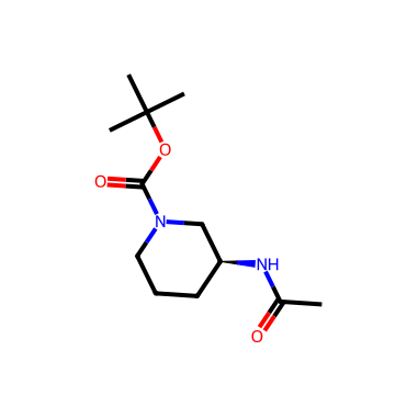 CC(=O)N[C@H]1CCCN(C(=O)OC(C)(C)C)C1